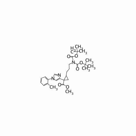 COC(=O)C1(c2cn(-c3ccccc3C)cn2)CC1CCCN(C(=O)OC(C)(C)C)C(=O)OC(C)(C)C